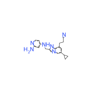 N#CCCc1cc(C2CC2)cn2cc(CNc3ccnc(N)c3)nc12